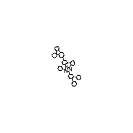 c1ccc(-c2nc(-c3ccc(-c4ccccc4)c(-c4ccccc4)c3)nc(-c3ccccc3-c3cccc(-c4ccc5c(c4)C4(CCCCC4)c4ccccc4-5)c3)n2)cc1